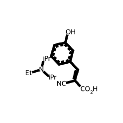 CCN(C(C)C)C(C)C.N#C/C(=C\c1cccc(O)c1)C(=O)O